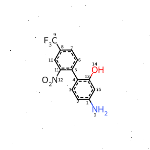 Nc1ccc(-c2ccc(C(F)(F)F)cc2[N+](=O)[O-])c(O)c1